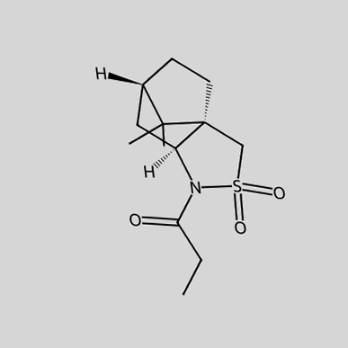 CCC(=O)N1[C@H]2C[C@@H]3CC[C@@]2(CS1(=O)=O)C3(C)C